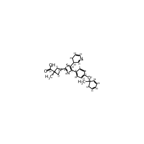 CC1(Oc2ccc(-c3nc(N4CC(C)(C(=O)O)C4)sc3C3C=NC=CC3)cc2)C=CC=CC1